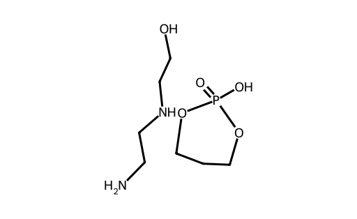 NCCNCCO.O=P1(O)OCCCO1